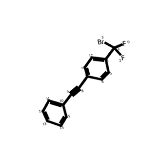 FC(F)(Br)c1ccc(C#Cc2ccccc2)cc1